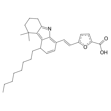 CCCCCCCCC1C=CC(/C=C/c2ccc(C(=O)O)o2)=C2N=C3CCCC(C)(C)C3=C21